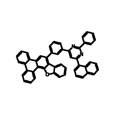 c1ccc(-c2nc(-c3cccc(-c4cc5c6ccccc6c6ccccc6c5c5oc6ccccc6c45)c3)cc(-c3cccc4ccccc34)n2)cc1